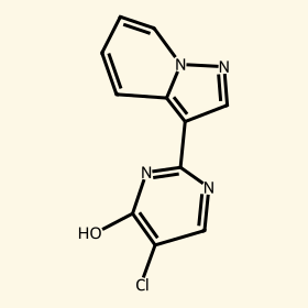 Oc1nc(-c2cnn3ccccc23)ncc1Cl